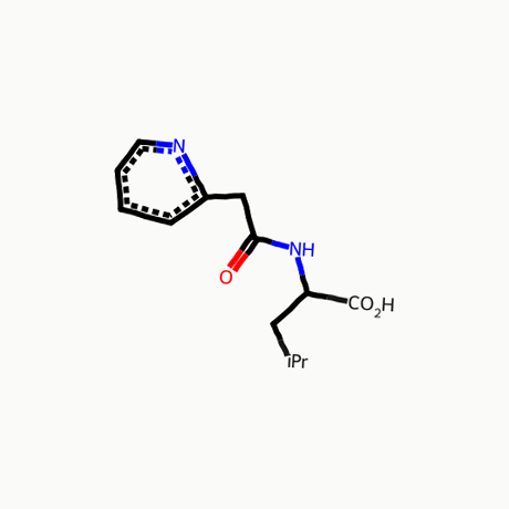 CC(C)CC(NC(=O)Cc1ccccn1)C(=O)O